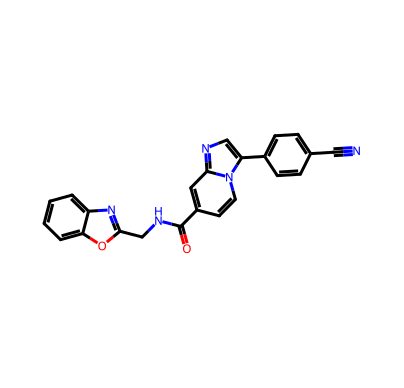 N#Cc1ccc(-c2cnc3cc(C(=O)NCc4nc5ccccc5o4)ccn23)cc1